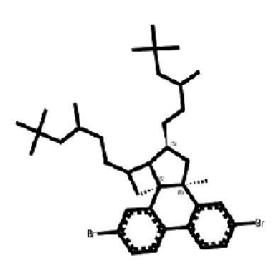 CC(CCC1C[C@@]23c4cc(Br)ccc4-c4ccc(Br)cc4[C@]2(C)C[C@H](CCC(C)CC(C)(C)C)C13)CC(C)(C)C